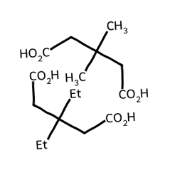 CC(C)(CC(=O)O)CC(=O)O.CCC(CC)(CC(=O)O)CC(=O)O